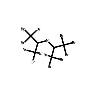 BrC(Br)(Br)C([N]C(C(Br)(Br)Br)C(Br)(Br)Br)C(Br)(Br)Br